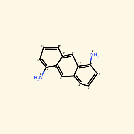 Nc1cccc2cc3c(N)cccc3[c]c12